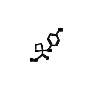 COC(=O)C1(Nc2ccc(C#N)cc2)CCC1